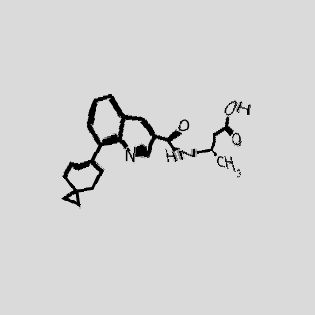 C[C@H](CC(=O)O)NC(=O)c1cnc2c(C3=CCC4(CC3)CC4)cccc2c1